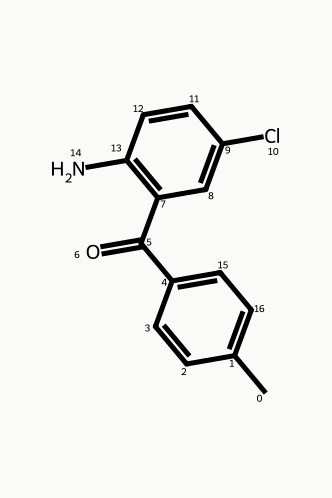 Cc1ccc(C(=O)c2cc(Cl)ccc2N)cc1